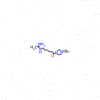 C=C(N)NCCCCCC(=O)N1CCN(C(C)(C)C)CC1